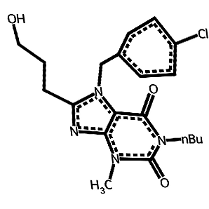 CCCCn1c(=O)c2c(nc(CCCO)n2Cc2ccc(Cl)cc2)n(C)c1=O